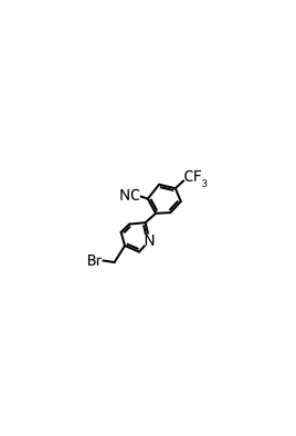 N#Cc1cc(C(F)(F)F)ccc1-c1ccc(CBr)cn1